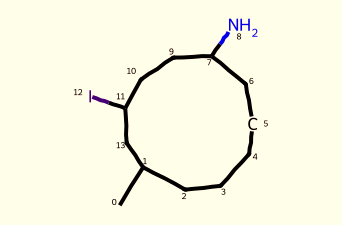 CC1CCCCCC(N)CCC(I)C1